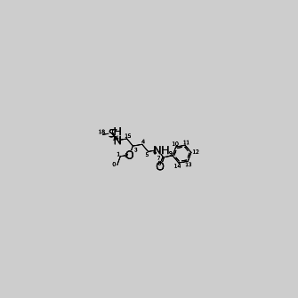 CCOC(CCNC(=O)c1ccccc1)CNSC